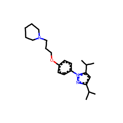 CC(C)c1cc(C(C)C)n(-c2ccc(OCCCN3CCCCC3)cc2)n1